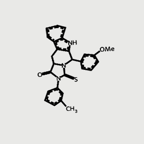 COc1cccc(C2c3[nH]c4ccccc4c3CC3C(=O)N(c4cccc(C)c4)C(=S)N32)c1